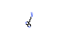 [N-]=[N+]=NCCCCc1cncc2cnccc12